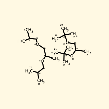 CC(C)COCC(C)OCC(C)C.CC(COC(C)(C)C)OC(C)(C)C